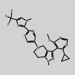 COc1ncnc(C2CC2)c1-c1nn(C)c2c1CN(c1cnc(-c3nc(C(F)(F)F)cn3C)nc1)CC2